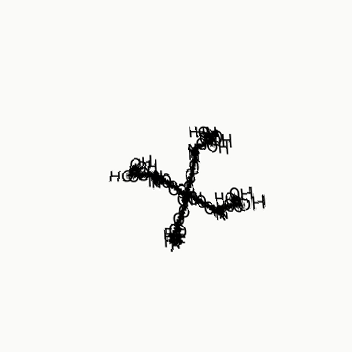 CC(=O)N[C@@H]1[C@@H](O)[C@@H](O)[C@@H](COCCc2cn(CCOCCOCCOCC(COCCOCCOCCn3cc(CCOC[C@H]4O[C@@H](O)C[C@@H](O)[C@H]4O)nn3)(COCCOCCOCCn3cc(CCOC[C@H]4O[C@@H](O)C[C@@H](O)[C@H]4O)nn3)NC(=O)CCOCCOCCC(=O)Oc3c(F)c(F)c(F)c(F)c3F)nn2)O[C@H]1O